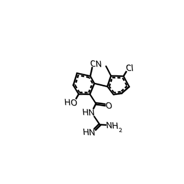 Cc1c(Cl)cccc1-c1c(C#N)ccc(O)c1C(=O)NC(=N)N